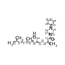 CC(C)=CCC/C(C)=C/CC/C(=C/CC/C(C)=C/C(=O)N1CCN(c2ccccc2)CC1)CO